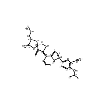 C=C1/C(=C(\C=C/C)c2ccc(-c3ccc(OC(C)C)c(C#N)c3)s2)CC[C@@]12CC(=O)N(CCO)C2